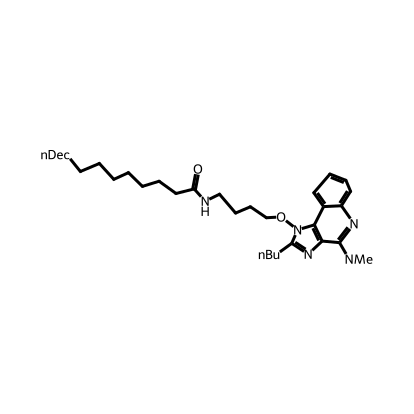 CCCCCCCCCCCCCCCCCC(=O)NCCCCOn1c(CCCC)nc2c(NC)nc3ccccc3c21